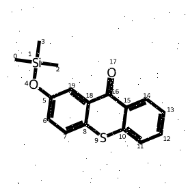 C[Si](C)(C)Oc1ccc2sc3ccccc3c(=O)c2c1